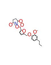 CCCc1ccc(OCc2ccc(C(=O)ON3C(=O)CCC3=O)o2)c(OC)c1